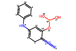 [N-]=[N+]=C1CC=C(Nc2ccccc2)C=C1OP(O)O